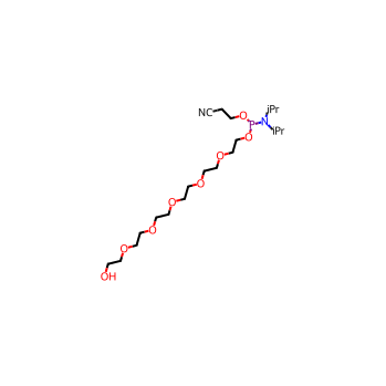 CC(C)N(C(C)C)P(OCCC#N)OCCOCCOCCOCCOCCOCCO